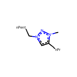 CCCCCCn1cc(CCC)[n+](C)n1